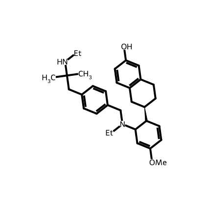 CCNC(C)(C)Cc1ccc(CN(CC)C2C=C(OC)C=CC2[C@@H]2CCc3cc(O)ccc3C2)cc1